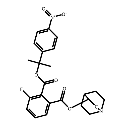 CC(C)(OC(=O)c1c(F)cccc1C(=O)OC1CN2CCC1CC2)c1ccc([N+](=O)[O-])cc1